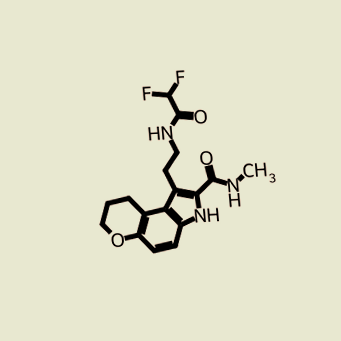 CNC(=O)c1[nH]c2ccc3c(c2c1CCNC(=O)C(F)F)CCCO3